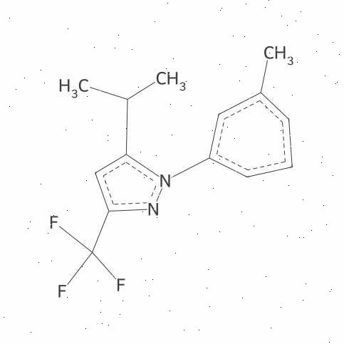 Cc1cccc(-n2nc(C(F)(F)F)cc2C(C)C)c1